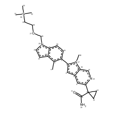 Cc1c(-c2cc3cc(C4(C(N)=O)CC4)ncc3n2C)ccc2c1ccn2COCC[Si](C)(C)C